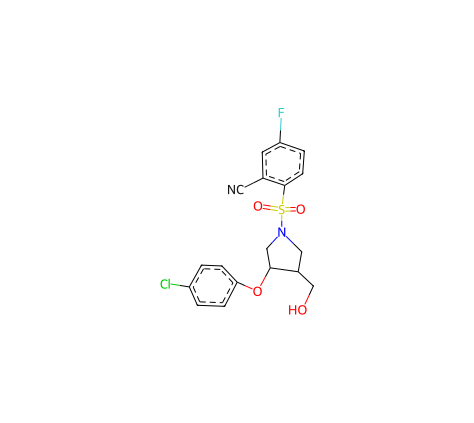 N#Cc1cc(F)ccc1S(=O)(=O)N1CC(CO)C(Oc2ccc(Cl)cc2)C1